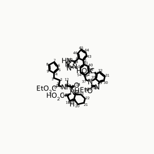 CCOC(=O)[C@H](CCc1ccccc1)N[C@@H](C)C(=O)N1[C@H](C(=O)O)C[C@H]2CCCC[C@@H]21.CCOc1nc2cccc(C(=O)O)c2n1Cc1ccc(-c2ccccc2-c2nnn[nH]2)cc1